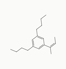 C/C=C(/C)c1cc(CCCC)cc(CCCC)c1